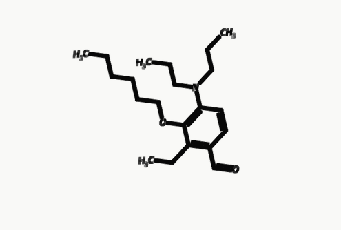 CCCCCCOc1c(N(CCC)CCC)ccc(C=O)c1CC